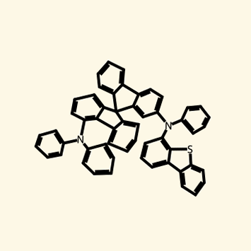 c1ccc(N(c2ccccc2)c2cccc3c2-c2ccccc2C32c3ccccc3-c3ccc(N(c4ccccc4)c4cccc5c4sc4ccccc45)cc32)cc1